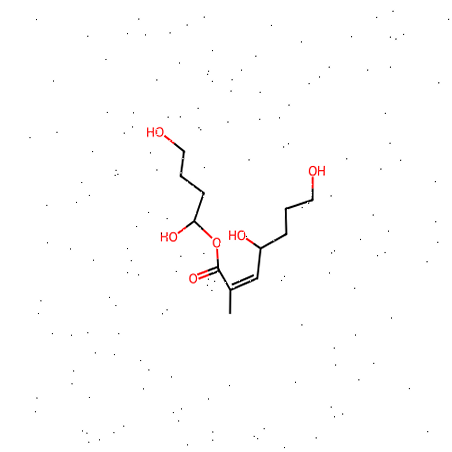 CC(=CC(O)CCCO)C(=O)OC(O)CCCO